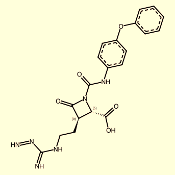 N=NC(=N)NCC[C@H]1C(=O)N(C(=O)Nc2ccc(Oc3ccccc3)cc2)[C@@H]1C(=O)O